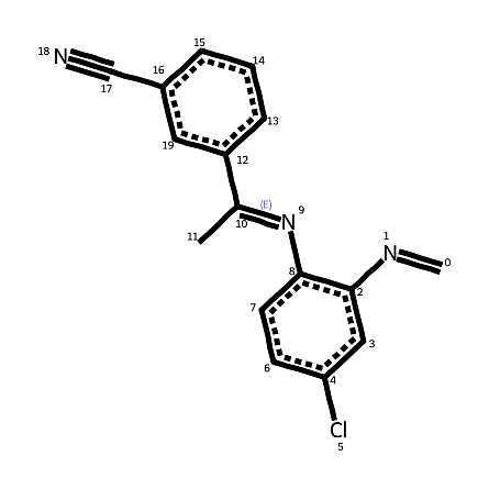 C=Nc1cc(Cl)ccc1/N=C(\C)c1cccc(C#N)c1